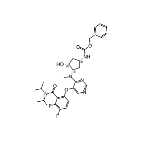 CC(C)N(C(=O)c1c(Oc2cncnc2N(C)[C@H]2C[C@@H](NC(=O)OCc3ccccc3)C[C@H]2O)ccc(F)c1F)C(C)C